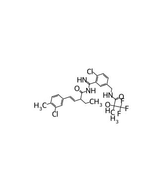 CCC(/C=C/c1ccc(C)c(Cl)c1)C(=O)NC(=N)c1cc(CNC(=O)C(C)(O)C(F)(F)F)ccc1Cl